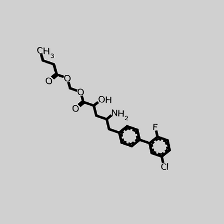 CCCC(=O)OCOC(=O)C(O)CC(N)Cc1ccc(-c2cc(Cl)ccc2F)cc1